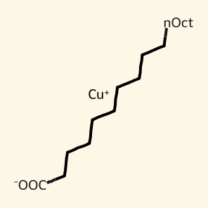 CCCCCCCCCCCCCCCCCC(=O)[O-].[Cu+]